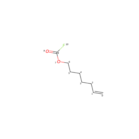 C=CCCCCCOC(=O)F